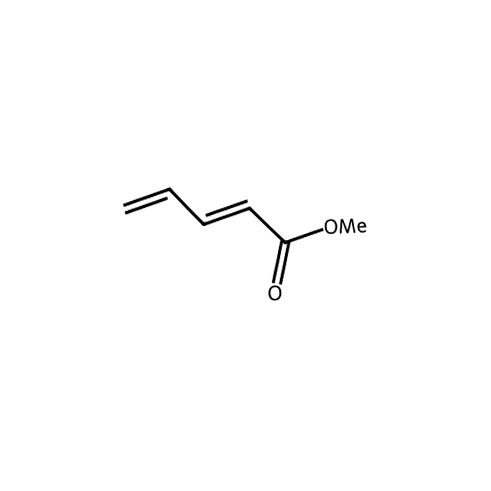 C=CC=CC(=O)OC